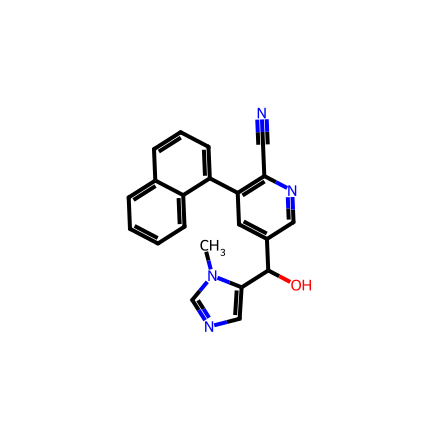 Cn1cncc1C(O)c1cnc(C#N)c(-c2cccc3ccccc23)c1